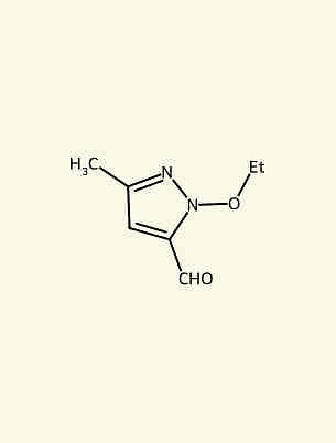 CCOn1nc(C)cc1C=O